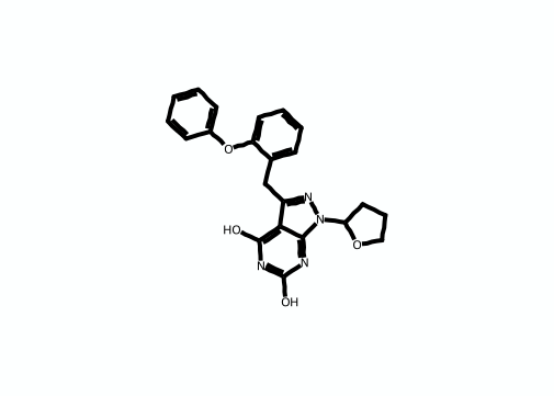 Oc1nc(O)c2c(Cc3ccccc3Oc3ccccc3)nn(C3CCCO3)c2n1